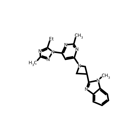 CCc1nc(C)nn1-c1cc(N2CC(c3nc4ccccc4n3C)C2)nc(C)n1